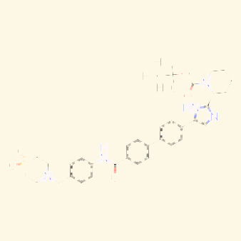 CC(C)(C)OC(=O)N1CCCC[C@H]1c1ncc(-c2ccc(-c3ccc(C(=O)Nc4ccc(CN5CCS(=O)(=O)CC5)cc4)cc3)cc2)[nH]1